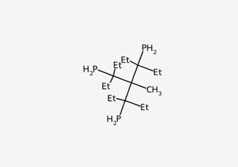 CCC(P)(CC)C(C)(C(P)(CC)CC)C(P)(CC)CC